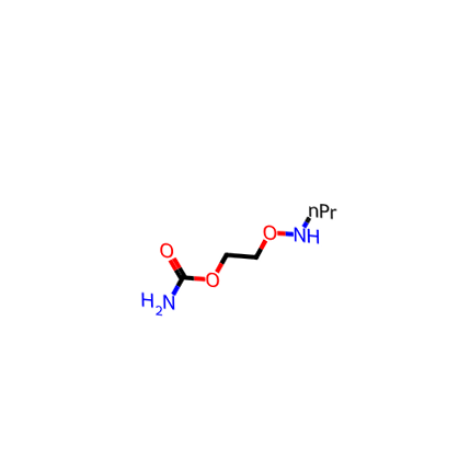 CCCNOCCOC(N)=O